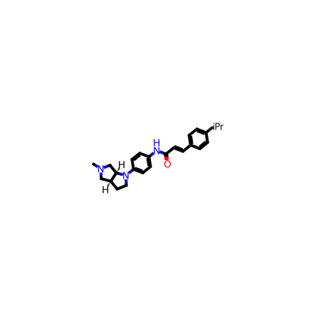 CC(C)c1ccc(/C=C/C(=O)Nc2ccc(N3CC[C@H]4CN(C)C[C@H]43)cc2)cc1